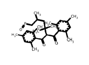 Cc1cc(C)c(C(=O)C(C(=O)c2c(C)cc(C)cc2C)C(C)(C)CC(C)CP=O)c(C)c1